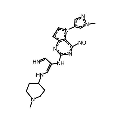 CN1CCC(N/C=C(\C=N)Nc2nc(N=O)c3c(ccn3-c3cnn(C)c3)n2)CC1